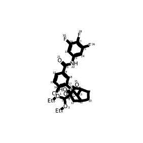 CCOC(OCC)[C@]1(O)CC2CCC(C1)[C@H]2S(=O)(=O)c1cc(C(=O)Nc2cc(F)c(F)c(F)c2)ccc1Cl